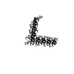 CCCN1CCCCN(CCC)C1=S.CCCN1CCCCN(CCC)C1=S.CCCN1CCCCN(CCC)C1=S.CCCN1CCCCN(CCC)C1=S.CCN1CCCCN(C(C)C)C1=S.CCN1CCCCN(C(C)C)C1=S.CCN1CCCCN(C(C)C)C1=S.CCN1CCCCN(C(C)C)C1=S.[Pt+2].[Pt+2]